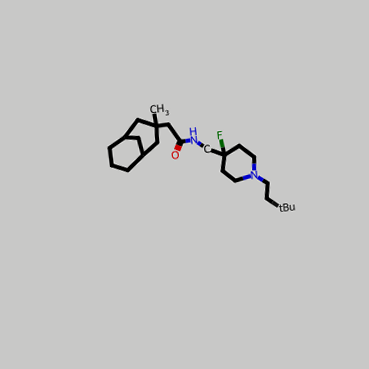 CC(C)(C)CCN1CCC(F)(CNC(=O)CC2(C)CC3CCCC(C3)C2)CC1